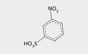 O=[N+]([O-])c1cc[c]c(S(=O)(=O)O)c1